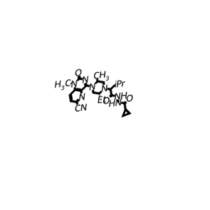 CC[C@@H]1CN(c2nc(=O)n(C)c3ccc(C#N)nc23)C(C)CN1C(C(=O)NNC(=O)C1CC1)C(C)C